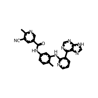 Cc1ccc(NC(=O)c2cnc(C)c(C#N)c2)cc1Nc1ncccc1-c1ncnc2[nH]cnc12